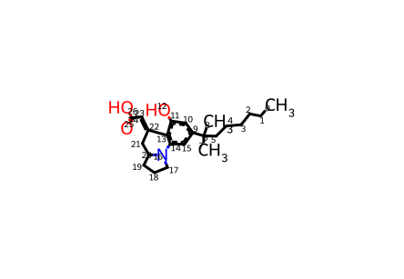 CCCCCCC(C)(C)c1cc(O)c2c(c1)N1CCCC1CC2=CC(=O)O